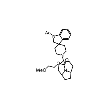 COCCOC(=O)N1C2CCC(N3CCC4(CC3)CN(C(C)=O)c3ccccc34)CCC1CC2